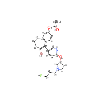 CC(C)(C)C(=O)Oc1ccc2c(c1)CCCC(Br)=C2c1ccc(OC2CCN(CCCF)C2)nc1